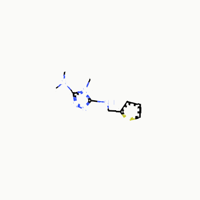 CN(C)c1nnc(NCc2cccs2)n1C